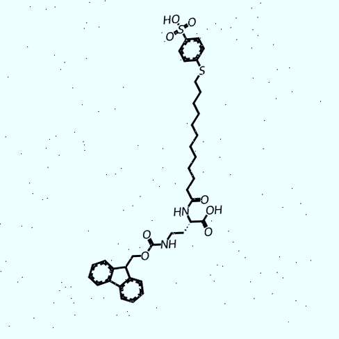 O=C(CCCCCCCCCCCSc1ccc(S(=O)(=O)O)cc1)N[C@@H](CCNC(=O)OCC1c2ccccc2-c2ccccc21)C(=O)O